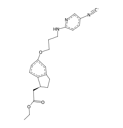 [C-]#[N+]c1ccc(NCCCOc2ccc3c(c2)CC[C@H]3CC(=O)OCC)nc1